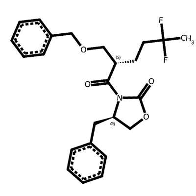 CC(F)(F)CC[C@@H](COCc1ccccc1)C(=O)N1C(=O)OC[C@H]1Cc1ccccc1